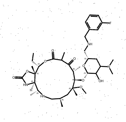 CC[C@@H]1OC(=O)C(C)C(=O)[C@H](C)[C@@H](O[C@@H]2O[C@H](CNCc3cccc(F)c3)CC(N(C)C)C2O)[C@](C)(OC)C[C@@H](C)CN[C@H](C)[C@H]2NC(=O)O[C@]12C